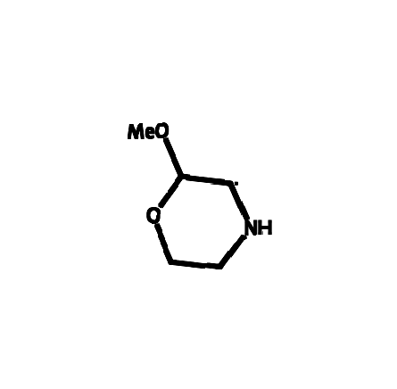 COC1[CH]NCCO1